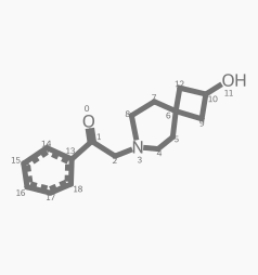 O=C(CN1CCC2(CC1)CC(O)C2)c1ccccc1